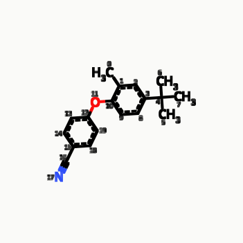 Cc1cc(C(C)(C)C)ccc1Oc1ccc(C#N)cc1